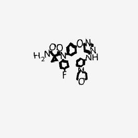 NC(=O)C1(C(=O)N(c2ccc(F)cc2)c2ccc(Oc3cc(Nc4cccc(N5CCOCC5)c4)ncn3)cc2)CC1